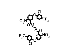 O=C(OCCOC(=O)c1cc(Oc2ccc(C(F)(F)F)cc2Cl)ccc1[N+](=O)[O-])c1cc(Oc2ccc(C(F)(F)F)cc2Cl)ccc1[N+](=O)[O-]